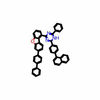 c1ccc(C2=NC(c3cccc4oc5cc(-c6ccc(-c7ccccc7)cc6)ccc5c34)=NC(c3ccc(-c4cccc5ccccc45)cc3)N2)cc1